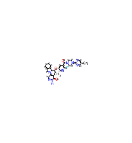 Cc1c(N2Cc3ccccc3C2COc2cnc(F)c(C(=O)N3CCN(c4ncc(C#N)cn4)CC3)c2)cn[nH]c1=O